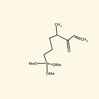 C=CC(=O)C(C)CCC[Si](OC)(OC)OC